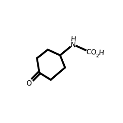 O=C1CCC(NC(=O)O)CC1